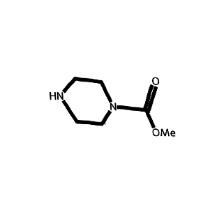 COC(=O)N1[CH]CNCC1